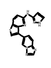 c1nc2ccc(-c3csc4ccc(Nc5cc[nH]n5)nc34)cn2n1